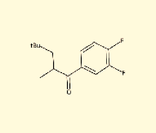 CC(CC(C)(C)C)C(=O)c1ccc(F)c(F)c1